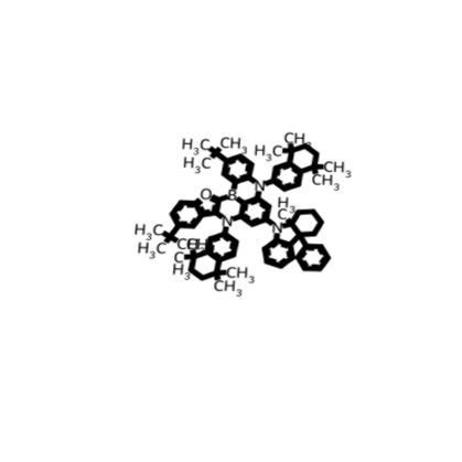 CC(C)(C)c1ccc2c(c1)B1c3oc4ccc(C(C)(C)C)cc4c3N(c3ccc4c(c3)C(C)(C)CCC4(C)C)c3cc(N4c5ccccc5C5(c6ccccc6)CCCCC45C)cc(c31)N2c1ccc2c(c1)C(C)(C)CCC2(C)C